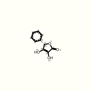 O=C1O[C@@H](c2ccccc2)C(O)=C1O